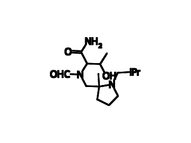 CC(C)CN1CCCC1(C)CN(C=O)C(C(N)=O)C(C)O